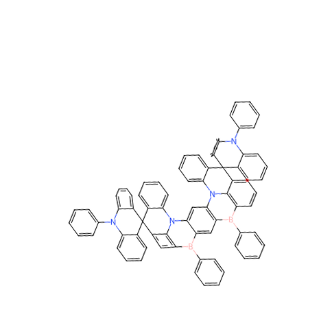 c1ccc(B2c3cc4c(cc3N3c5ccccc5C5(c6ccccc6N(c6ccccc6)c6ccccc65)c5cccc2c53)N2c3ccccc3C3(c5ccccc5N(c5ccccc5)c5ccccc53)c3cccc(c32)B4c2ccccc2)cc1